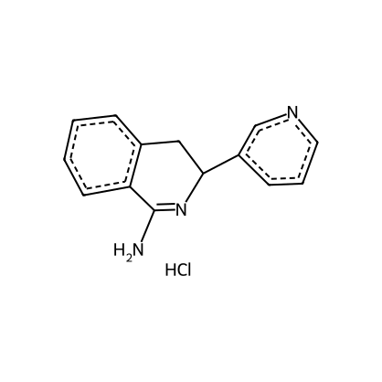 Cl.NC1=NC(c2cccnc2)Cc2ccccc21